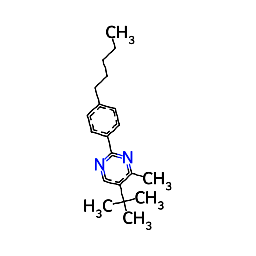 CCCCCc1ccc(-c2ncc(C(C)(C)C)c(C)n2)cc1